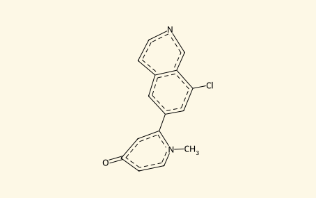 Cn1ccc(=O)cc1-c1cc(Cl)c2cnccc2c1